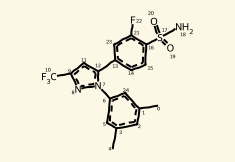 Cc1cc(C)cc(-n2nc(C(F)(F)F)cc2-c2ccc(S(N)(=O)=O)c(F)c2)c1